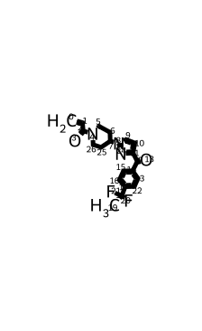 C=CC(=O)N1CCC(n2ccc(C(=O)c3ccc(C(C)(F)F)cc3)n2)CC1